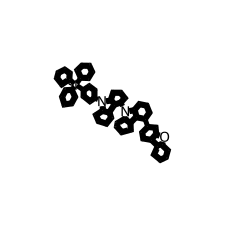 c1ccc([Si](c2ccccc2)(c2ccccc2)c2ccc(-n3c4ccccc4c4c(-n5c6ccccc6c6c(-c7ccc8c(c7)oc7ccccc78)cccc65)cccc43)cc2)cc1